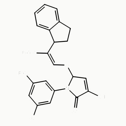 CCOC(=O)/C(=C/OC1C=C(C)C(=O)N1c1cc(C(F)(F)F)cc(C(F)(F)F)c1)C1CCc2ccccc21